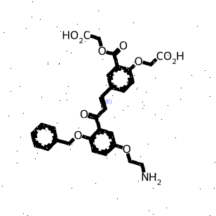 NCCOc1ccc(OCc2ccccc2)c(C(=O)/C=C/c2ccc(OCC(=O)O)c(C(=O)OCC(=O)O)c2)c1